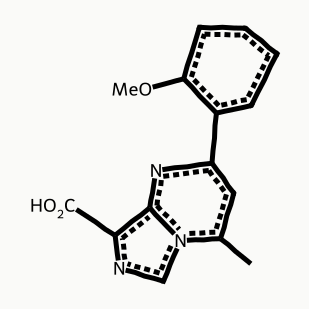 COc1ccccc1-c1cc(C)n2cnc(C(=O)O)c2n1